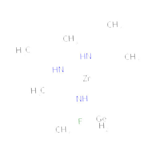 CC(C)[NH][Zr]([NH]C(C)C)([NH]C(C)C)[C]1=[C]([GeH2][F])C=CC1